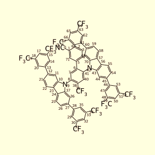 N#Cc1cccc(-c2cc(-n3c4cc(-c5cc(C(F)(F)F)cc(C(F)(F)F)c5)ccc4c4ccc(-c5cc(C(F)(F)F)cc(C(F)(F)F)c5)cc43)c(C(F)(F)F)cc2-n2c3cc(-c4cc(C(F)(F)F)cc(C(F)(F)F)c4)ccc3c3ccc(-c4cc(C(F)(F)F)cc(C(F)(F)F)c4)cc32)c1